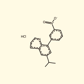 CC(C)c1cc(-c2cccc([N+](=O)[O-])c2)c2ncccc2c1.Cl